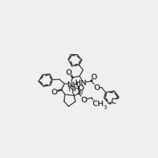 CCOC(=O)C1(N)CCCC1C(=O)C(Cc1ccccc1)NC(=O)C(Cc1ccccc1)NC(=O)OCc1ccccc1